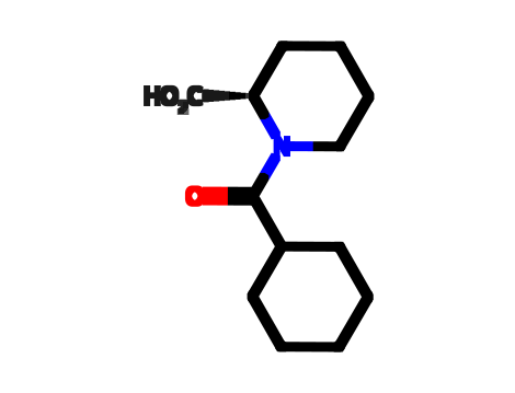 O=C(O)[C@@H]1CCCCN1C(=O)C1CCCCC1